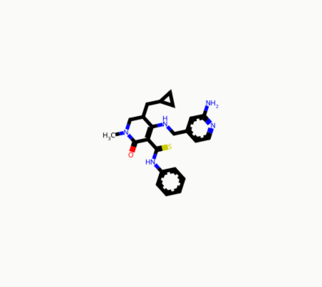 CN1CC(CC2CC2)C(NCc2ccnc(N)c2)=C(C(=S)Nc2ccccc2)C1=O